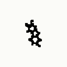 Cc1cnc2c(n1)Cc1cc(C)c(C)cc1-2